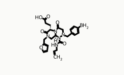 Bc1ccc(CN2CC(=O)N3[C@@H](CCC(=O)O)C(=O)N(Cc4ccco4)C[C@@H]3N2C(=O)NCC=C)cc1